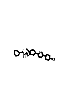 C[C@H](Nc1nc2cc(-c3ccc(-c4ccc(Cl)cc4)cn3)ccc2n1C)C1CCCCC1